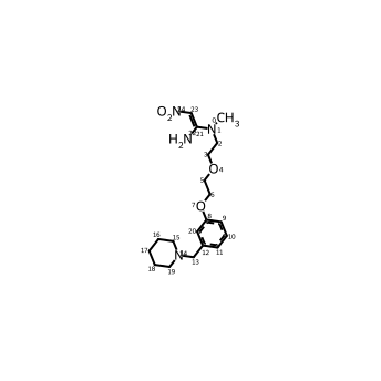 CN(CCOCCOc1cccc(CN2CCCCC2)c1)C(N)=C[N+](=O)[O-]